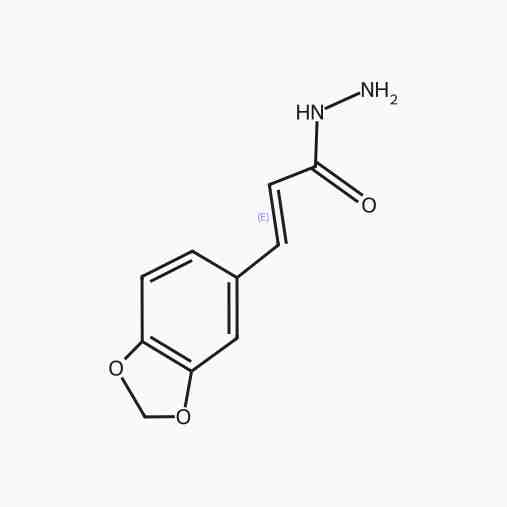 NNC(=O)/C=C/c1ccc2c(c1)OCO2